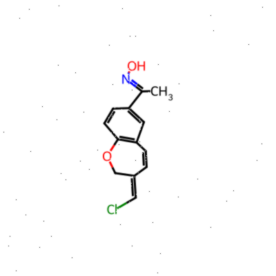 CC(=NO)c1ccc2c(c1)C=CC(=CCl)CO2